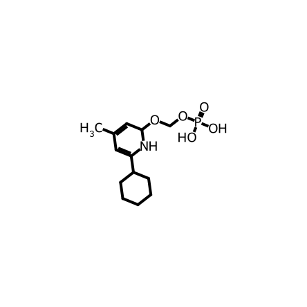 CC1=CC(OCOP(=O)(O)O)NC(C2CCCCC2)=C1